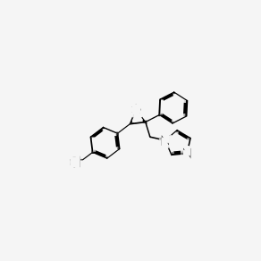 Clc1ccc(C2OC2(Cn2ccnc2)c2ccccc2)cc1